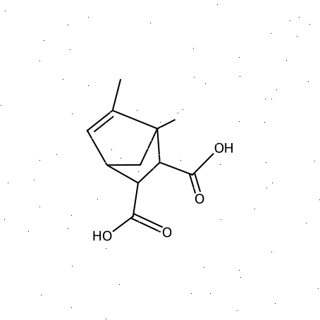 CC1=CC2CC1(C)C(C(=O)O)C2C(=O)O